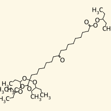 CCC(CC)OOC(=O)CCCCCCCCC(=O)CCCCCCCC(OC(CC)CC)(OC(CC)CC)C(=O)OOC(CC)CC